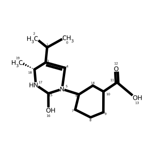 CC(C)C1=CN(C2CCCC(C(=O)O)C2)C(O)N[C@@H]1C